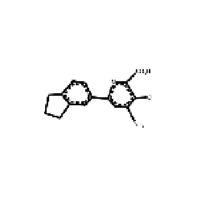 Nc1cc(-c2ccc3c(c2)CCC3)nc(C(=O)O)c1Cl